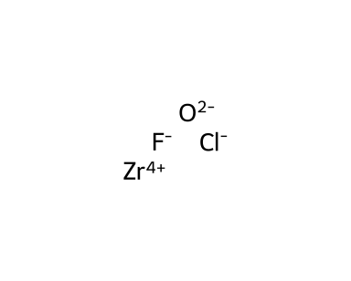 [Cl-].[F-].[O-2].[Zr+4]